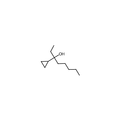 CCCCCC(O)(CC)C1CC1